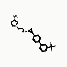 N[C@H]1CCN(CCN[C@H]2CC2c2ccc(-c3cccc(C(F)(F)F)c3)cc2)C1